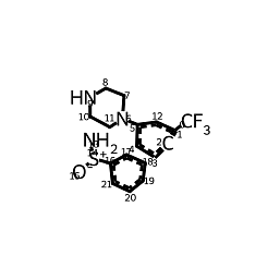 FC(F)(F)c1cccc(N2CCNCC2)c1.N[S+]([O-])c1ccccc1